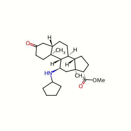 COC(=O)[C@H]1CC[C@H]2[C@@H]3CC[C@H]4CC(=O)CC[C@]4(C)[C@H]3[C@H](NC3CCCC3)C[C@]12C